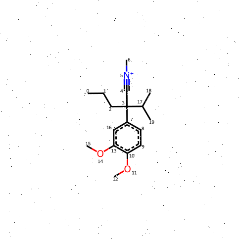 [CH2]CCC(C#[N+]C)(c1ccc(OC)c(OC)c1)C(C)C